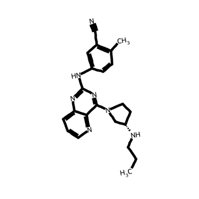 CCCN[C@H]1CCN(c2nc(Nc3ccc(C)c(C#N)c3)nc3cccnc23)C1